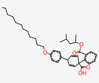 CCCCCCCCCCCCOc1ccc(C2C=CC(C(=O)O)(c3ccccc3C(=O)OC(C)CC(C)C)C(F)=C2)cc1